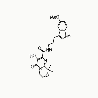 COc1ccc2[nH]cc(CCCNC(=O)c3nc4n(c(=O)c3O)CCOC4(C)C)c2c1